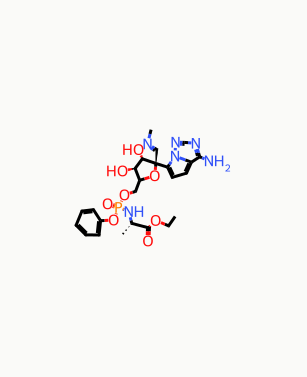 CCOC(=O)[C@H](C)NP(=O)(OCC1O[C@@](C=NC)(c2ccc3c(N)ncnn23)[C@H](O)[C@@H]1O)Oc1ccccc1